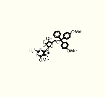 COc1ccc(C(OCC2OC(n3cnc4c(OC)nc(N)nc43)[C@](C)(F)[C@@H]2O)(c2ccccc2)c2ccc(OC)cc2)cc1